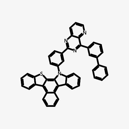 c1ccc(-c2cccc(-c3nc(-c4cccc(-n5c6ccccc6c6c7ccccc7c7c8ccccc8sc7c65)c4)nc4cccnc34)c2)cc1